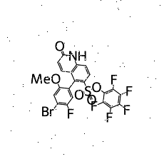 COc1cc(Br)c(F)cc1-c1c(S(=O)(=O)Oc2c(F)c(F)c(F)c(F)c2F)ccc2[nH]c(=O)ccc12